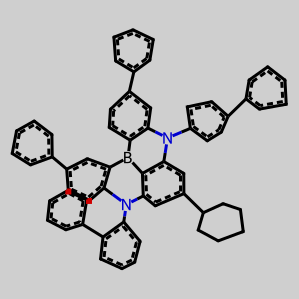 c1ccc(-c2ccc(N3c4cc(-c5ccccc5)ccc4B4c5cc(-c6ccccc6)ccc5N(c5ccccc5-c5ccccc5)c5cc(C6CCCCC6)cc3c54)cc2)cc1